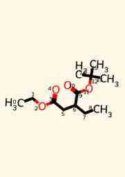 CCOC(=O)CC(CC)C(=O)OC(C)(C)C